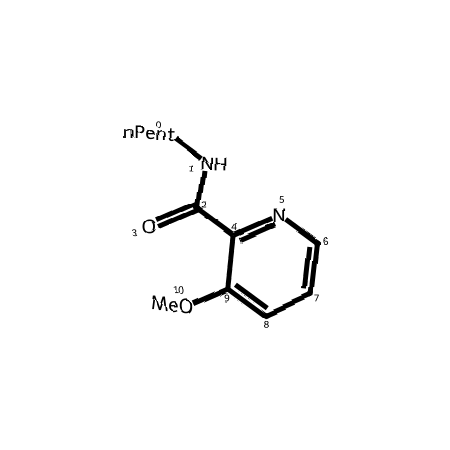 CCCCCNC(=O)c1ncccc1OC